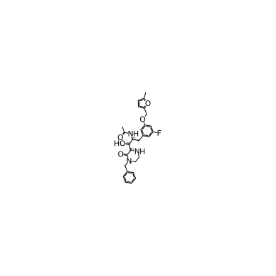 CC(=O)N[C@@H](Cc1cc(F)cc(OCc2ccc(C)o2)c1)[C@H](O)[C@@H]1NCCN(Cc2ccccc2)C1=O